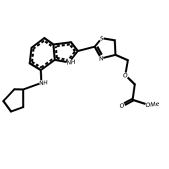 COC(=O)COCC1CSC(c2cc3cccc(NC4CCCC4)c3[nH]2)=N1